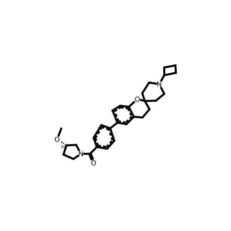 CO[C@H]1CCN(C(=O)c2ccc(-c3ccc4c(c3)CCC3(CCN(C5CCC5)CC3)O4)cc2)C1